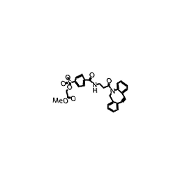 COC(=O)COS(=O)(=O)c1ccc(C(=O)NCCC(=O)N2Cc3ccccc3C#Cc3ccccc32)cc1